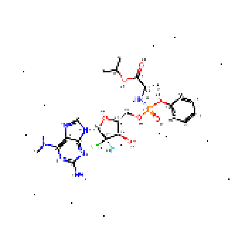 CNc1nc(N)nc2c1ncn2[C@@H]1O[C@H](CO[P@@](=O)(N[C@@H](C)C(=O)OC(C)C)Oc2ccccc2)[C@@H](O)[C@@]1(F)Cl